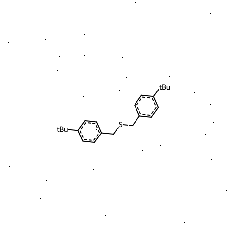 CC(C)(C)c1ccc(CSCc2ccc(C(C)(C)C)cc2)cc1